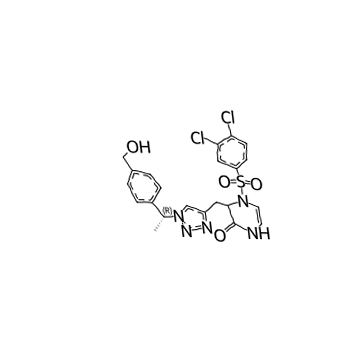 C[C@H](c1ccc(CO)cc1)n1cc(CC2C(=O)NC=CN2S(=O)(=O)c2ccc(Cl)c(Cl)c2)nn1